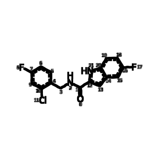 O=C(NCc1ccc(F)cc1Cl)c1cc2cc(F)ccc2[nH]1